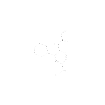 C=CC(=O)Nc1ccc(C(=O)O)cc1N1CCCCC1